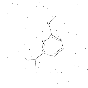 COc1nccc(C(C)C)n1